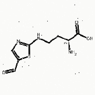 N[C@@H](CCNc1ncc(C=O)s1)C(=O)O